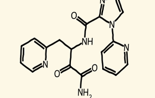 NC(=O)C(=O)C(Cc1ccccn1)NC(=O)c1nccn1-c1ccccn1